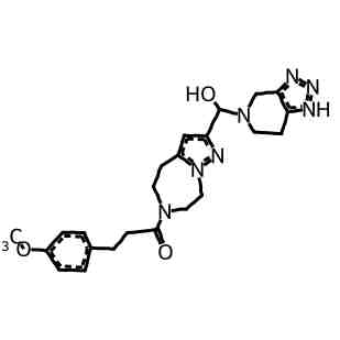 COc1ccc(CCC(=O)N2CCc3cc(C(O)N4CCc5[nH]nnc5C4)nn3CC2)cc1